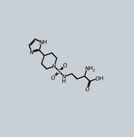 NC(CCNS(=O)(=O)N1CCC(c2ncc[nH]2)CC1)C(=O)O